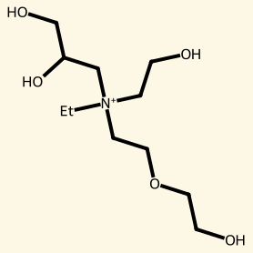 CC[N+](CCO)(CCOCCO)CC(O)CO